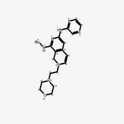 CC(C)(C)Nc1nc(Nc2cnccn2)cc2c1CN(CCN1CCOCC1)C=C2